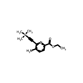 CCOC(=O)c1ccc(N)c(C#C[Si](C)(C)C)n1